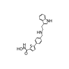 O=C(NO)c1ccc(-c2ccc(CNCCc3c[nH]c4ccccc34)cc2)s1